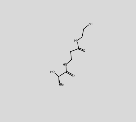 [CH2]C(C)(C)[C@@H](O)C(=O)NCCC(=O)NCCS